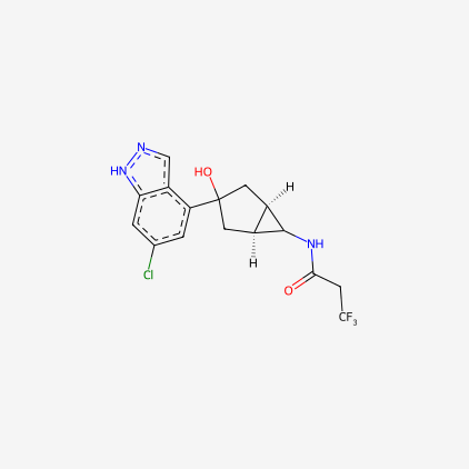 O=C(CC(F)(F)F)NC1[C@H]2CC(O)(c3cc(Cl)cc4[nH]ncc34)C[C@@H]12